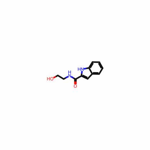 O=C(NCCO)c1cc2ccccc2[nH]1